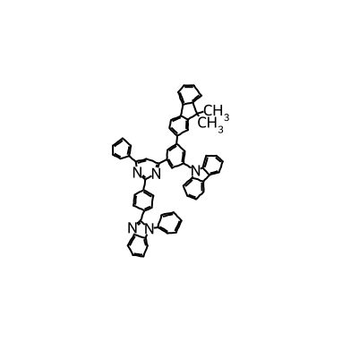 CC1(C)c2ccccc2-c2ccc(-c3cc(-c4cc(-c5ccccc5)nc(-c5ccc(-c6nc7ccccc7n6-c6ccccc6)cc5)n4)cc(-n4c5ccccc5c5ccccc54)c3)cc21